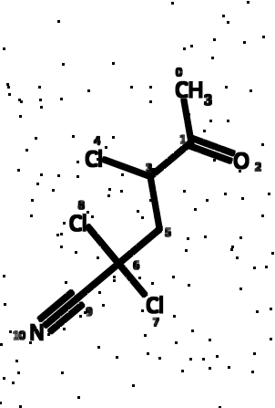 CC(=O)C(Cl)CC(Cl)(Cl)C#N